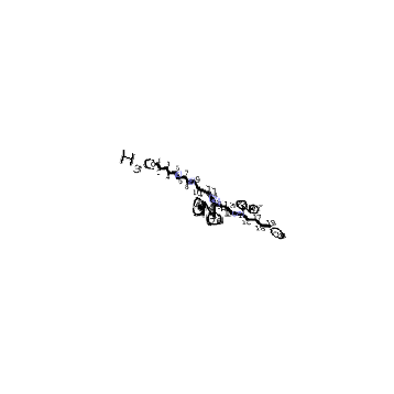 CCCCC/C=C/C/C=C/C/C=C(/C/C=C(/CCC[C]=O)[N+](=O)[O-])[N+](=O)[O-]